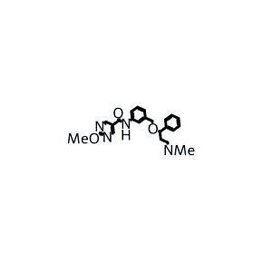 CNCCC(OCc1cccc(NC(=O)c2cnc(OC)nc2)c1)c1ccccc1